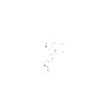 CCO[C@H]1[C@@H](c2ccc(F)c(F)c2OC)[C@H](C(=O)Nc2ccnc(C(N)=O)c2)O[C@H]1C